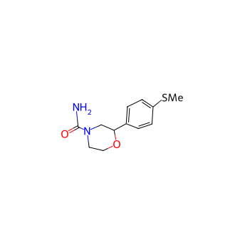 CSc1ccc(C2CN(C(N)=O)CCO2)cc1